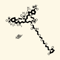 CC1(C)C(=CC=CC(=CC=CC2=[N+](CCS(=O)(=O)[O-])c3ccc(S(=O)(=O)[O-])cc3C2(C)C)CCCOCC(=O)NCCCOCCOCCOCCCN2C(=O)C=CC2=O)N(CCS(=O)(=O)[O-])c2ccc(S(=O)(=O)[O-])cc21.[Na+].[Na+].[Na+]